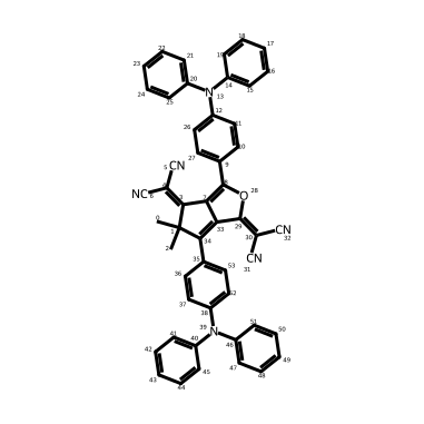 CC1(C)C(=C(C#N)C#N)c2c(-c3ccc(N(c4ccccc4)c4ccccc4)cc3)oc(=C(C#N)C#N)c2=C1c1ccc(N(c2ccccc2)c2ccccc2)cc1